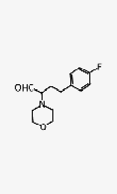 O=CC(CCc1ccc(F)cc1)N1CCOCC1